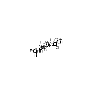 CC(C)(O)c1cc(Cl)cc([C@H](CC(=O)O)NC(=O)CNC(=O)c2cncc(NC3=NCC(F)CN3)c2)c1